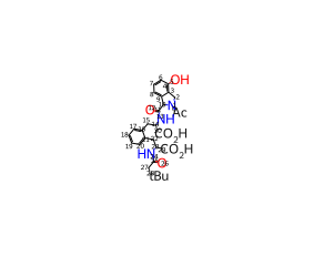 CC(=O)N1Cc2c(O)cccc2C1C(=O)NC(Cc1ccccc1CC(NC(=O)CC(C)(C)C)C(=O)O)C(=O)O